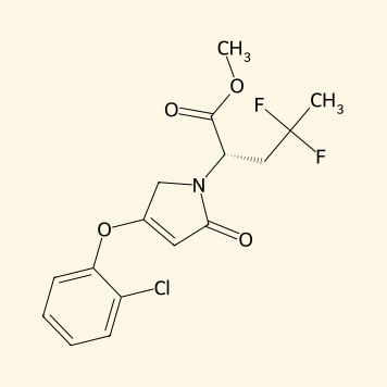 COC(=O)[C@H](CC(C)(F)F)N1CC(Oc2ccccc2Cl)=CC1=O